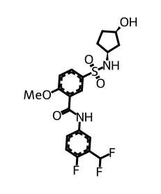 COc1ccc(S(=O)(=O)N[C@H]2CC[C@@H](O)C2)cc1C(=O)Nc1ccc(F)c(C(F)F)c1